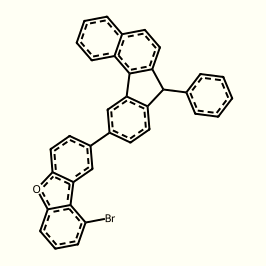 Brc1cccc2oc3ccc(-c4ccc5c(c4)-c4c(ccc6ccccc46)C5c4ccccc4)cc3c12